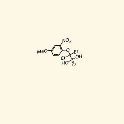 CCC(CC)(Oc1ccc(OC)cc1[N+](=O)[O-])P(=O)(O)O